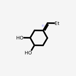 CC/C=C1\CCC(O)C(O)C1